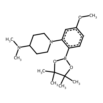 COc1[c]cc(B2OC(C)(C)C(C)(C)O2)c(N2CCC(N(C)C)CC2)c1